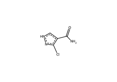 NC(=O)c1c[nH]nc1Cl